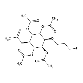 CC(=O)OC1C(OC(C)=O)[C@@H](OCCCF)[C@@H](OC(C)=O)C(OC(C)=O)[C@H]1OC(C)=O